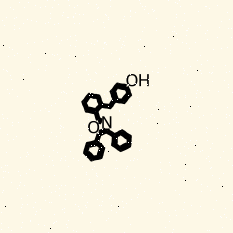 Oc1ccc(CC2CCCC=C2c2nc(-c3ccccc3)c(-c3ccccc3)o2)cc1